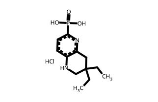 CCC1(CC)CNc2ccc(P(=O)(O)O)nc2C1.Cl